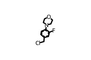 Fc1cc(CCl)ccc1N1CCOCC1